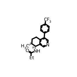 CCC(=O)N[C@H]1c2cncc(-c3ccc(C(F)(F)F)cc3)c2CC[C@H]1C